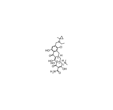 CCN(Cc1cc(O)c2c(c1Cl)C[C@H]1C[C@H]3[C@H](N(C)C)C(O)=C(C(N)=O)C(=O)[C@@]3(O)C(O)=C1C2=O)C1(C)CC1